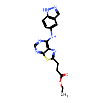 CCOC(=O)CCc1nc2c(Nc3ccc4[nH]ncc4c3)ncnc2s1